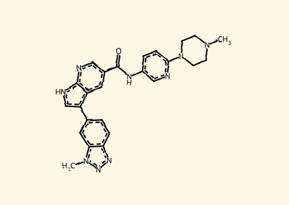 CN1CCN(c2ccc(NC(=O)c3cnc4[nH]cc(-c5ccc6nnn(C)c6c5)c4c3)cn2)CC1